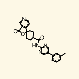 Cc1cccc(-c2cnc(NC(=O)C3CCC4(CC3)OC(=O)c3cnccc34)nc2)c1